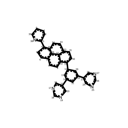 c1ccc(-c2ccc3ccc4c(-c5cc(-c6cncnc6)cc(-c6cncnc6)c5)ccc5ccc2c3c54)nc1